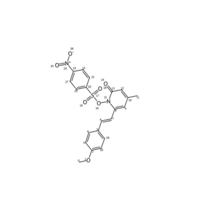 COc1ccc(C=Cc2cc(C)cc(=O)n2OS(=O)(=O)c2ccc([N+](=O)[O-])cc2)cc1